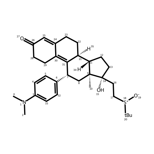 CN(C)c1ccc([C@H]2C[C@@]3(C)[C@@H](CC[C@@]3(O)CC[S+]([O-])C(C)(C)C)[C@@H]3CCC4=CC(=O)CCC4=C32)cc1